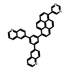 c1cnc2ccc(-c3cc(-c4ccc5ncccc5c4)cc(-c4ccc5ccc6c(-c7cncnc7)ccc7ccc4c5c76)c3)cc2c1